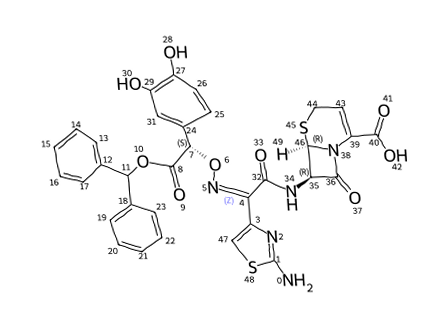 Nc1nc(/C(=N/O[C@H](C(=O)OC(c2ccccc2)c2ccccc2)c2ccc(O)c(O)c2)C(=O)N[C@@H]2C(=O)N3C(C(=O)O)=CCS[C@H]23)cs1